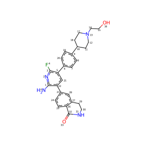 Nc1nc(F)c(-c2ccc(C3CCN(CCO)CC3)cc2)cc1-c1ccc2c(c1)CCNC2=O